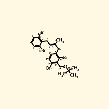 C/C(=C\Cc1c(Br)cccc1Br)Cc1ccc(Br)c(COC(C)(C)C)c1Br